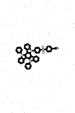 N#Cc1ccc(S(=O)(=O)c2ccc(-n3c4ccccc4c4c5c(c6ccccc6n5-c5ccccc5)c5c(c6ccccc6n5-c5ccccc5)c43)cc2)cc1